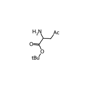 [CH2]C(=O)CC(N)C(=O)OC(C)(C)C